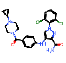 NC(=O)c1nn(-c2c(Cl)cccc2Cl)cc1Nc1ccc(C(=O)N2CCN(C3CC3)CC2)cc1